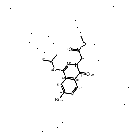 COC(=O)Cn1nc(OC(C)C)c2cc(Br)ccc2c1=O